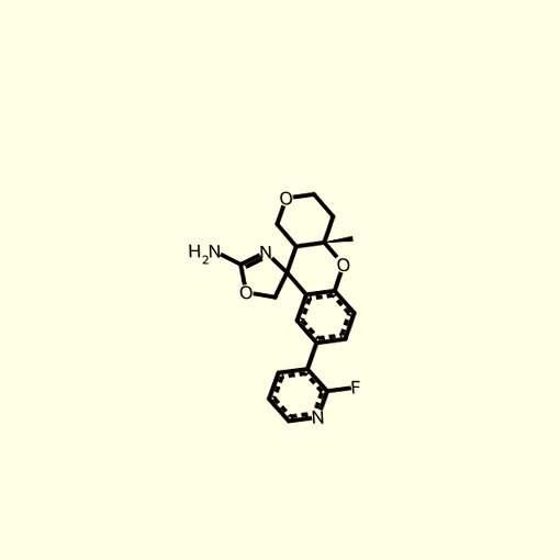 C[C@]12CCOCC1C1(COC(N)=N1)c1cc(-c3cccnc3F)ccc1O2